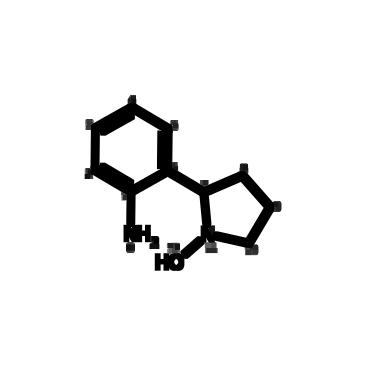 Nc1ccccc1C1CCCN1O